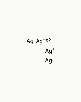 [Ag+].[Ag+].[Ag].[Ag].[S-2]